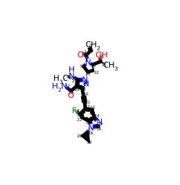 C=CC(=O)N1C[C@@H](n2nc(C#Cc3cc4ncn(C5CC5)c4cc3F)c(C(N)=O)c2NC)C[C@@H]1[C@@H](C)O